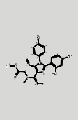 C=Nc1c(/C(=N\C)N(C)CC(=O)OC(C)(C)C)nc(-c2ccc(Cl)cc2Cl)n1-c1ccc(Cl)cc1